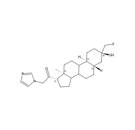 C[C@]12CCC3C(CC[C@H]4C[C@@](O)(CF)CC[C@H]34)C1CC[C@@H]2C(=O)Cn1ccnc1